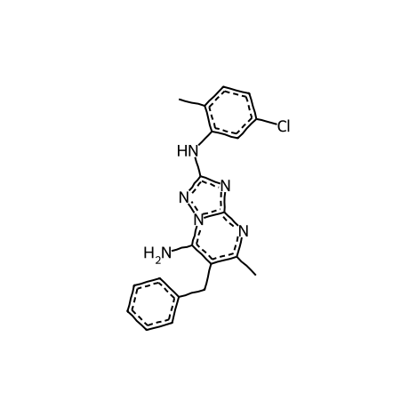 Cc1ccc(Cl)cc1Nc1nc2nc(C)c(Cc3ccccc3)c(N)n2n1